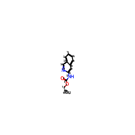 CC[C@@H](C)COC(=O)Nc1cc2ccccc2cn1